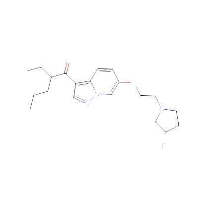 CCCC(CC)C(=O)c1cnn2cc(OCCN3CC[C@H](F)C3)ccc12